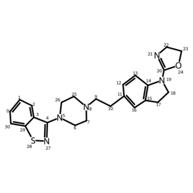 c1ccc2c(N3CCN(CCc4ccc5c(c4)CCN5C4=NCCO4)CC3)nsc2c1